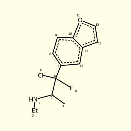 CCNC(C)C(F)(Cl)c1ccc2occc2c1